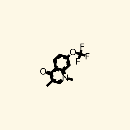 Cc1cn(C)c2cc(OC(F)(F)F)ccc2c1=O